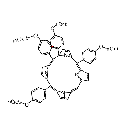 CCCCCCCCOc1ccc(C2=C3C=CC(=N3)C=c3ccc([nH]3)=C(c3ccc(OCCCCCCCC)cc3)C3=NC(=C(c4ccc(OCCCCCCCC)cc4)C4(c5ccc(OCCCCCCCC)cc5)CC=C2N4)C=C3)cc1